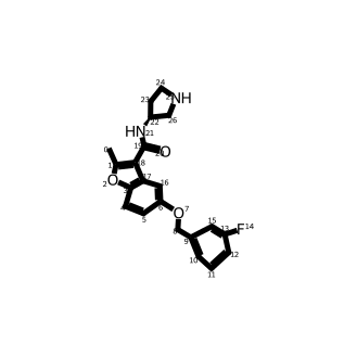 Cc1oc2ccc(OCc3cccc(F)c3)cc2c1C(=O)N[C@H]1CCNC1